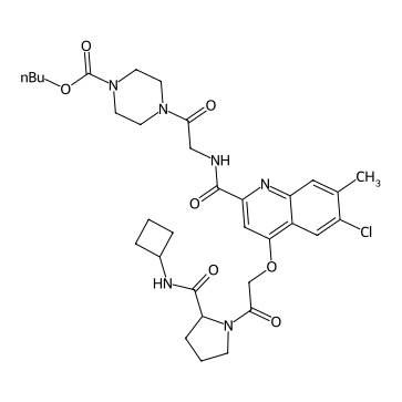 CCCCOC(=O)N1CCN(C(=O)CNC(=O)c2cc(OCC(=O)N3CCCC3C(=O)NC3CCC3)c3cc(Cl)c(C)cc3n2)CC1